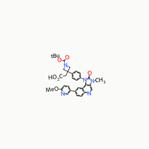 COc1ccc(-c2ccc3ncc4c(c3c2)n(-c2ccc(C3(CC(=O)O)CN(C(=O)OC(C)(C)C)C3)cc2)c(=O)n4C)cn1